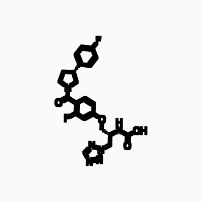 O=C(O)N[C@@H](COc1ccc(C(=O)N2CC[C@H](c3ccc(F)cc3)C2)c(F)c1)Cn1ncnn1